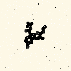 CCOC(=O)C(C)=Cc1cn(C(=O)OC(C)(C)C)c2ccc(Br)cc12